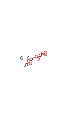 Cc1ccc(C(=O)Oc2ccc(CCOC(=O)c3ccc(OC4CCCCO4)cc3)cc2C=O)cc1